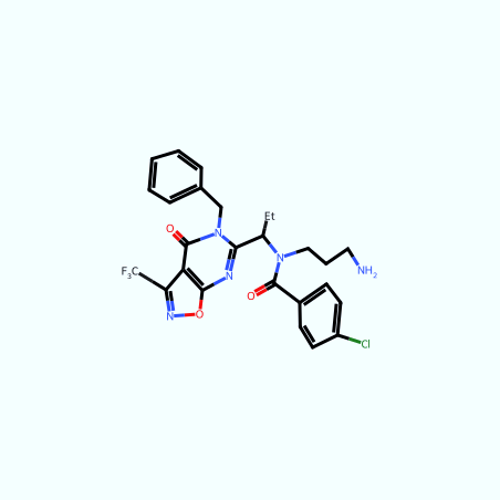 CCC(c1nc2onc(C(F)(F)F)c2c(=O)n1Cc1ccccc1)N(CCCN)C(=O)c1ccc(Cl)cc1